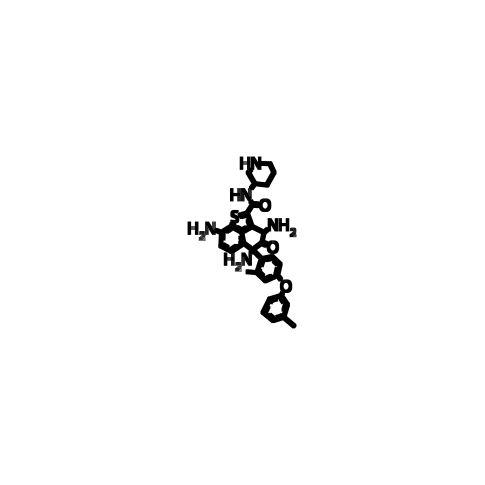 Cc1cccc(Oc2ccc(C3(N)C(=O)C(N)c4c(C(=O)NC5CCCNC5)sc5c(N)ccc3c45)c(C)c2)c1